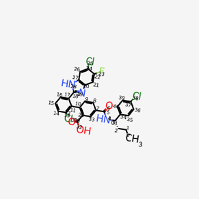 CCC[C@H](NC(=O)c1ccc(-c2c(Cl)cccc2-c2nc3cc(F)c(Cl)cc3[nH]2)c(C(=O)O)c1)c1ccc(Cl)cc1